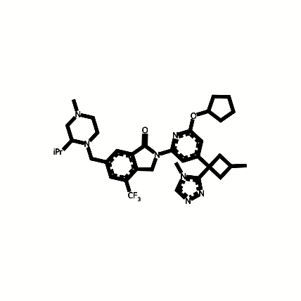 CC1CC(c2cc(OC3CCCC3)nc(N3Cc4c(cc(CN5CCN(C)CC5C(C)C)cc4C(F)(F)F)C3=O)c2)(c2nncn2C)C1